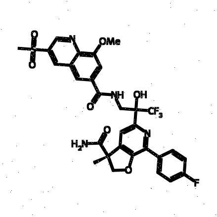 COc1cc(C(=O)NCC(O)(c2cc3c(c(-c4ccc(F)cc4)n2)OC[C@]3(C)C(N)=O)C(F)(F)F)cc2cc(S(C)(=O)=O)cnc12